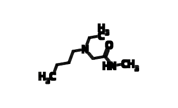 CCCCN(CC)CC(=O)NC